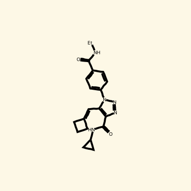 CCNC(=O)c1ccc(-n2nnc(C(=O)NC3CC3)c2C=C2CCC2)cc1